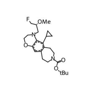 CO[C@@H](CF)CN1CCOc2cc3c(c(C4CC4)c21)CCN(C(=O)OC(C)(C)C)CC3